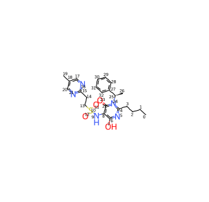 CCCCc1nc(O)c(NS(=O)(=O)CCc2ncc(C)cn2)c(=O)n1[C@H](C)c1ccccc1